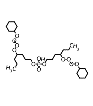 CCCC(CCCOP(=O)(O)OCCCC(CCC)OOOOC1CCCCC1)OOOOC1CCCCC1